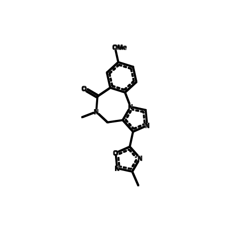 COc1ccc2c(c1)C(=O)N(C)Cc1c(-c3nc(C)no3)ncn1-2